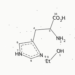 CCO.NC(Cc1c[nH]cn1)C(=O)O